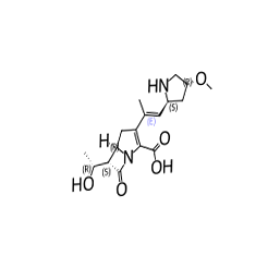 CO[C@H]1CN[C@H](/C=C(\C)C2=C(C(=O)O)N3C(=O)[C@H]([C@@H](C)O)[C@H]3C2)C1